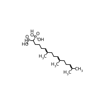 CC(C)=CCC/C(C)=C/CC/C(C)=C/CCCC([PH](=O)O)P(=O)(O)O